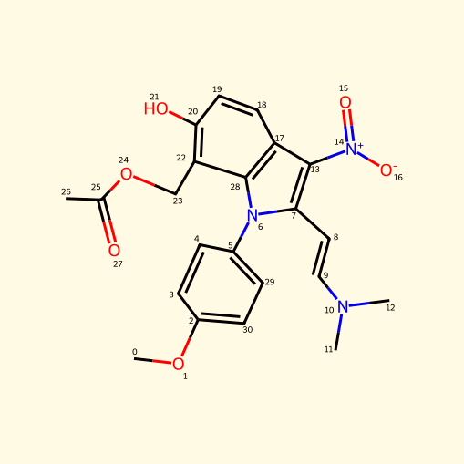 COc1ccc(-n2c(C=CN(C)C)c([N+](=O)[O-])c3ccc(O)c(COC(C)=O)c32)cc1